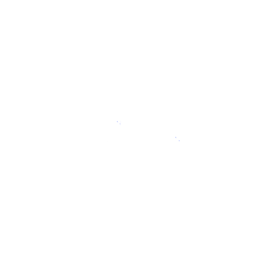 Cc1ccc2c(c1)c1c3n2C(c2ccccc2)CC3CN(C)C1